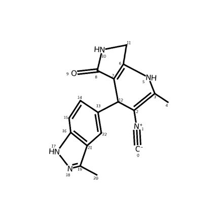 [C-]#[N+]C1=C(C)NC2=C(C(=O)NC2)C1c1ccc2[nH]nc(C)c2c1